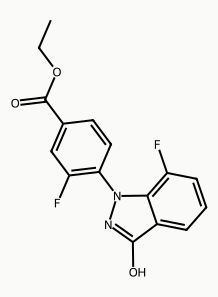 CCOC(=O)c1ccc(-n2nc(O)c3cccc(F)c32)c(F)c1